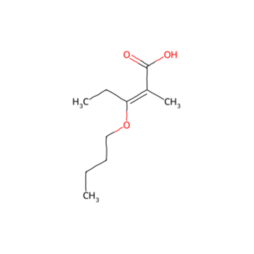 CCCCO/C(CC)=C(\C)C(=O)O